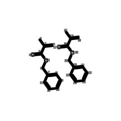 C=C(C)C(=O)OCc1ccccc1.C=C(C)C(=O)OCc1ccccc1